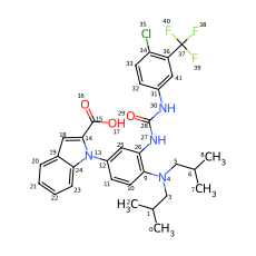 CC(C)CN(CC(C)C)c1ccc(-n2c(C(=O)O)cc3ccccc32)cc1NC(=O)Nc1ccc(Cl)c(C(F)(F)F)c1